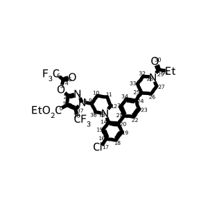 CCOC(=O)c1c(OC(=O)C(F)(F)F)nn(C2CCCN(c3cc(Cl)ccc3-c3ccc(C4CCN(C(=O)CC)CC4)cc3)C2)c1C(F)(F)F